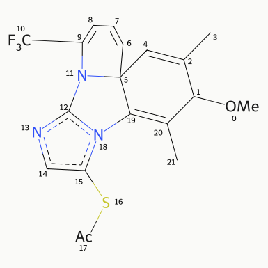 COC1C(C)=CC23C=CC=C(C(F)(F)F)N2c2ncc(SC(C)=O)n2C3=C1C